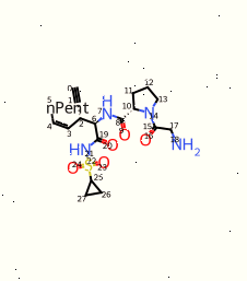 C#C[C@@H](/C=C\CCCCC)[C@@H](NC(=O)[C@@H]1CCCN1C(=O)CN)C(=O)NS(=O)(=O)C1CC1